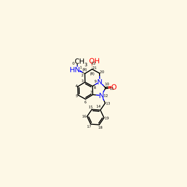 CN[C@@H]1c2cccc3c2n(c(=O)n3Cc2ccccc2)C[C@H]1O